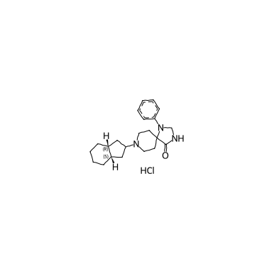 Cl.O=C1NCN(c2ccccc2)C12CCN(C1C[C@H]3CCCC[C@H]3C1)CC2